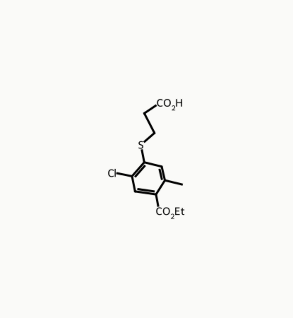 CCOC(=O)c1cc(Cl)c(SCCC(=O)O)cc1C